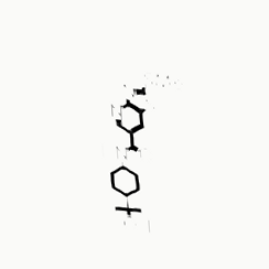 CSc1nc2ncc(C(=O)N[C@H]3CC[C@H](C(C)(C)O)CC3)cc2s1